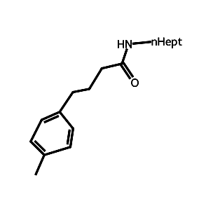 CCCCCCCNC(=O)CCCc1ccc(C)cc1